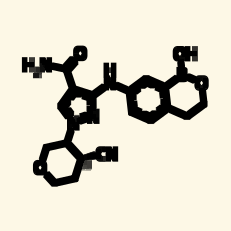 N#C[C@H]1CCOCC1n1cc(C(N)=O)c(Nc2ccc3c(c2)B(O)OCC3)n1